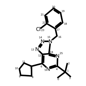 CC(C)(C)c1nc(C2CCCC2)c2nnn(Cc3ccccc3Cl)c2n1